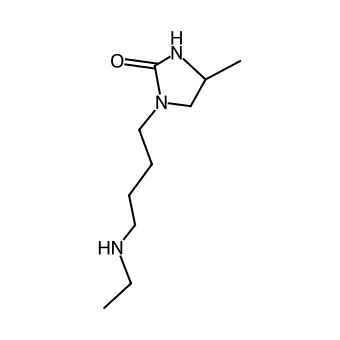 CCNCCCCN1CC(C)NC1=O